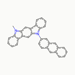 Cn1c2ccccc2c2cc3c(cc21)c1ccccc1n3-c1ccc2cc3ccccc3cc2c1